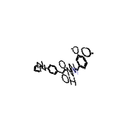 COc1ccc(/C=N/NC(=O)C(OC)c2ccc(-n3cccn3)cc2)cc1OC